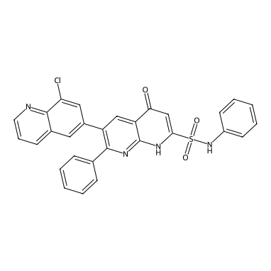 O=c1cc(S(=O)(=O)Nc2ccccc2)[nH]c2nc(-c3ccccc3)c(-c3cc(Cl)c4ncccc4c3)cc12